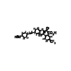 CCCCc1ccc(C#Cc2ccc(CN(C(=O)C(=O)O)C(CC)c3ccc(C(F)(F)F)cc3)cc2)cc1